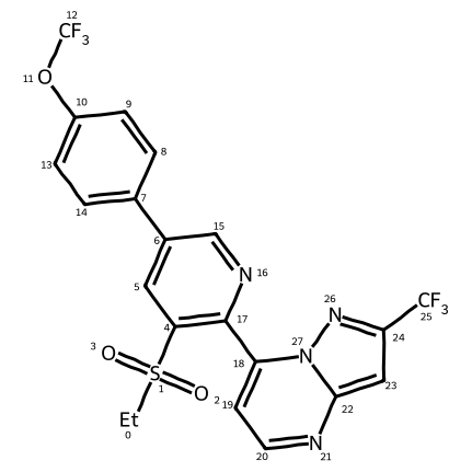 CCS(=O)(=O)c1cc(-c2ccc(OC(F)(F)F)cc2)cnc1-c1ccnc2cc(C(F)(F)F)nn12